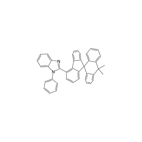 CC1(C)c2ccccc2C2(c3ccccc3-c3c(-c4nc5ccccc5n4-c4ccccc4)cccc32)c2ccccc21